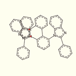 c1ccc(-c2nc3ccccc3n2-c2cccc(-n3c(-c4ccccc4)nc4ccccc43)c2-c2ccccc2-n2cnc3ccccc32)cc1